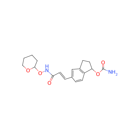 NC(=O)OC1CCc2cc(C=CC(=O)NOC3CCCCO3)ccc21